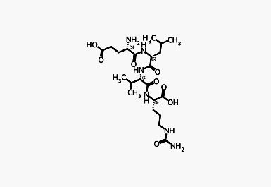 CC(C)C[C@H](NC(=O)[C@@H](N)CCC(=O)O)C(=O)N[C@H](C(=O)N[C@@H](CCCNC(N)=O)C(=O)O)C(C)C